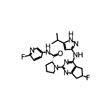 CC(C)c1cc(Nc2nc(N3CCC[C@@H]3C(=O)Nc3ccc(F)nc3)nc3c2C[C@@H](F)C3)n[nH]1